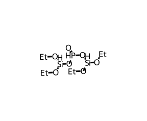 CCO[SiH](OCC)O[PH](=O)O[SiH](OCC)OCC